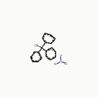 CCN(CC)CC.ClC(c1ccccc1)(c1ccccc1)c1ccccc1